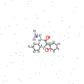 Cc1ccc(-c2oc3ccccc3c2C(=O)CCN(C)C)cc1